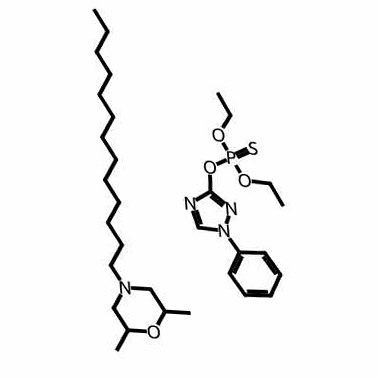 CCCCCCCCCCCCCN1CC(C)OC(C)C1.CCOP(=S)(OCC)Oc1ncn(-c2ccccc2)n1